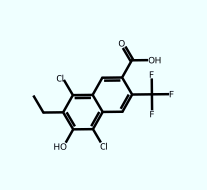 CCc1c(O)c(Cl)c2cc(C(F)(F)F)c(C(=O)O)cc2c1Cl